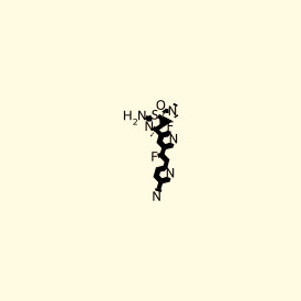 CN(C)C(=O)[C@]12C=C1[C@@](C)(c1cc(/C(F)=C/c3ccc(C#N)cn3)cnc1F)N=C(N)S2